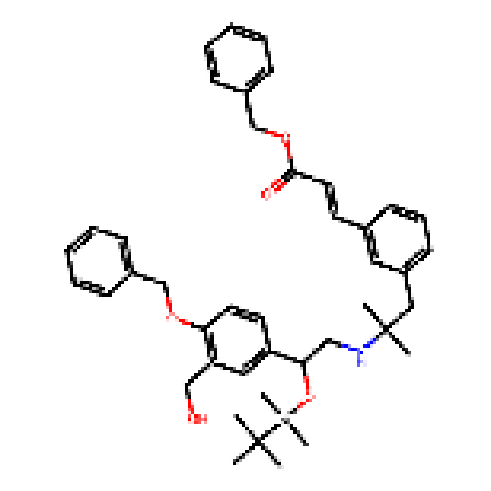 CC(C)(Cc1cccc(C=CC(=O)OCc2ccccc2)c1)NCC(O[Si](C)(C)C(C)(C)C)c1ccc(OCc2ccccc2)c(CO)c1